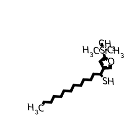 CCCCCCCCCCCCC(S)c1coc([Si](C)(C)C)c1